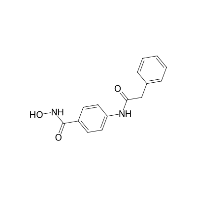 O=C(Cc1ccccc1)Nc1ccc(C(=O)NO)cc1